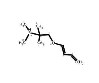 C=C/C=C/OCC(C)(C)[SiH](C)C